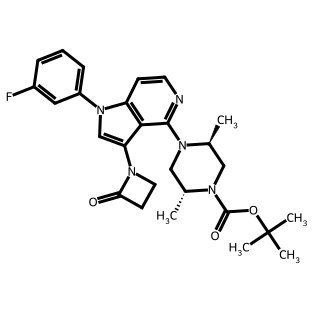 C[C@@H]1CN(c2nccc3c2c(N2CCC2=O)cn3-c2cccc(F)c2)[C@@H](C)CN1C(=O)OC(C)(C)C